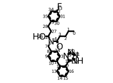 CCCCC(=O)N(Cc1ccc(-c2ccccc2-c2nnn[nH]2)cc1)C(O)CCc1ccc(F)cc1